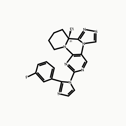 CC[C@]12CCCCN1c1nc(-n3ccnc3-c3cccc(F)c3)ncc1-n1cnnc12